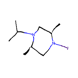 CC(C)N1C[C@@H](C)N(I)C[C@H]1C